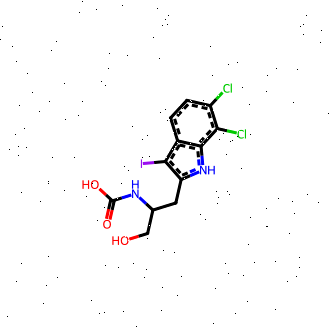 O=C(O)NC(CO)Cc1[nH]c2c(Cl)c(Cl)ccc2c1I